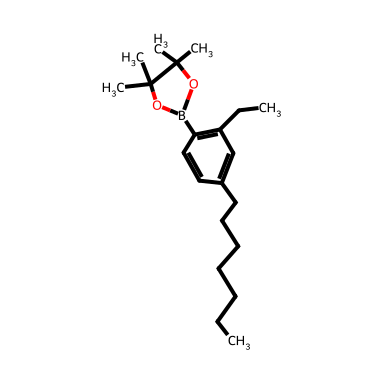 CCCCCCCc1ccc(B2OC(C)(C)C(C)(C)O2)c(CC)c1